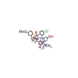 COc1ccc(S(=O)(=O)N2C(=O)C(c3ncccc3C)(N3C[C@H](O)C[C@H]3C(=O)N(C)C)c3cc(Cl)ccc32)c(OC)c1